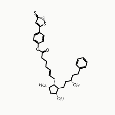 O=C(CCC/C=C/C[C@@H]1[C@@H](CC[C@@H](O)CCc2ccccc2)[C@H](O)C[C@@H]1O)Oc1ccc(-c2cc(=S)ss2)cc1